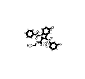 CCOC(=O)c1c(P(=O)(OC)c2cccc(Br)c2)c2cc(Cl)ccc2n1S(=O)(=O)c1ccccc1